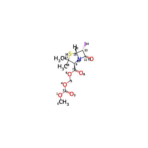 COC(=O)OCOC(=O)[C@@H]1N2C(=O)[C@@H](I)[C@H]2SC1(C)C